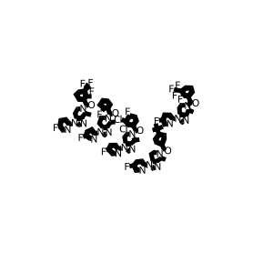 CC1c2ncn(-c3ccc(F)cn3)c2CCN1C(=O)c1ccc(C(C)(C)C)cc1.CC1c2ncn(-c3ccc(F)cn3)c2CCN1C(=O)c1ccc(F)c(Cl)c1Cl.CC1c2ncn(-c3ccc(F)cn3)c2CCN1C(=O)c1cccc(C(F)(F)F)c1F.CC1c2ncn(-c3ccc(F)cn3)c2CCN1C(=O)c1ccccc1F.Cc1c(C(=O)N2CCc3c(ncn3-c3ccc(F)cn3)C2C)cccc1C(F)(F)F